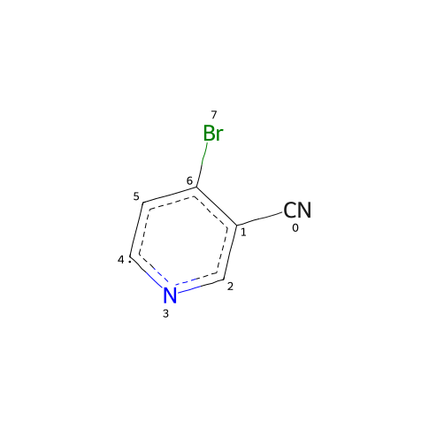 N#Cc1cn[c]cc1Br